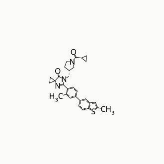 Cc1cc2cc(-c3ccc(C4=NC5(CC5)C(=O)N4C[C@@H]4CCN(C(=O)C5CC5)C4)c(C)c3)ccc2s1